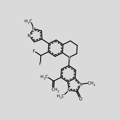 C=C(C)c1cc(N2CCCc3cc(-c4cnn(C)c4)c(C(F)F)cc32)cc2c1n(C)c(=O)n2C